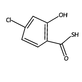 O=C(S)c1ccc(Cl)cc1O